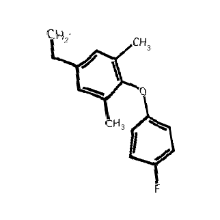 [CH2]Cc1cc(C)c(Oc2ccc(F)cc2)c(C)c1